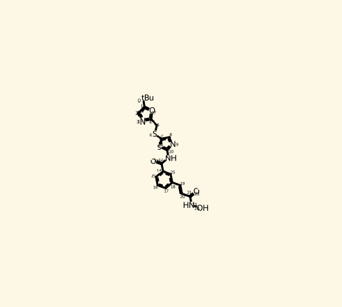 CC(C)(C)c1cnc(CSc2cnc(NC(=O)c3cccc(/C=C/C(=O)NO)c3)s2)o1